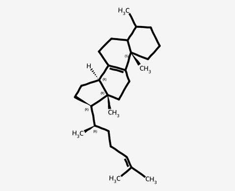 CC(C)=CCC[C@@H](C)[C@H]1CC[C@H]2C3=C(CC[C@]12C)[C@@]1(C)CCCC(C)C1CC3